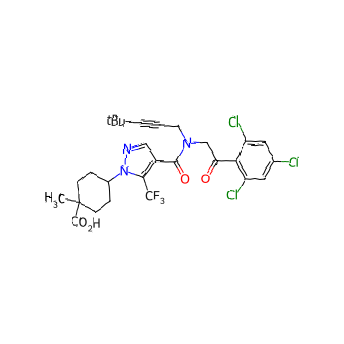 CC(C)(C)C#CCN(CC(=O)c1c(Cl)cc(Cl)cc1Cl)C(=O)c1cnn(C2CCC(C)(C(=O)O)CC2)c1C(F)(F)F